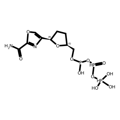 NC(=O)c1nc([C@H]2CC[C@@H](COP(O)O[PH](=O)O[PH](O)(O)O)O2)co1